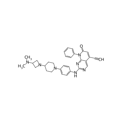 C#Cc1cc(=O)n(-c2ccccc2)c2nc(Nc3ccc(N4CCC(N5CC(N(C)C)C5)CC4)cc3)ncc12